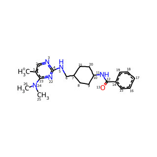 Cc1cnc(NCC2CCC(NC(=O)c3ccccc3)CC2)nc1N(C)C